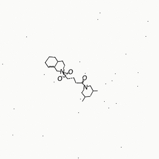 CC1CC(C)CN(C(=O)CCCS(=O)(=O)N2CCC3CCCC=C3C2)C1